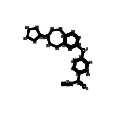 CNC(=O)c1cnc(Oc2ccc3c(c2)CCN(C2CCCC2)CC3)cn1